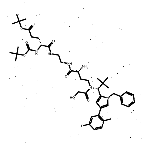 CC(C)(C)OC(=O)CC[C@@H](NC(=O)OC(C)(C)C)C(=O)NCCNC(=O)[C@@H](N)CCN(C(=O)CO)[C@@H](c1cc(-c2cc(F)ccc2F)cn1Cc1ccccc1)C(C)(C)C